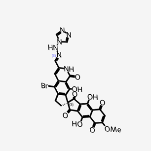 COC1=CC(=O)c2c(O)c3c(c(O)c2C1=O)C(=O)[C@]1(CCc2c1c(O)c1c(=O)[nH]c(/C=N/Nn4cnnc4)cc1c2Br)C3=O